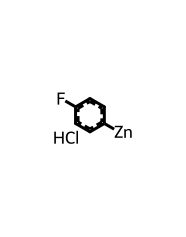 Cl.Fc1cc[c]([Zn])cc1